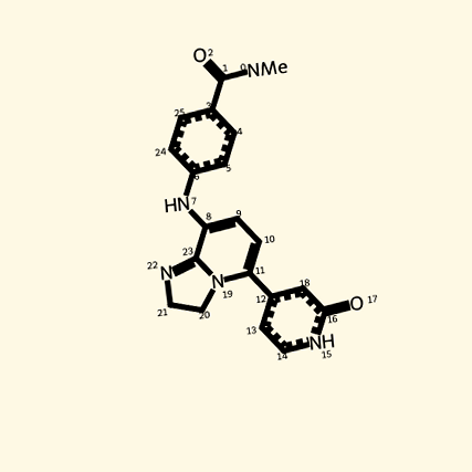 CNC(=O)c1ccc(NC2=CC=C(c3cc[nH]c(=O)c3)N3CCN=C23)cc1